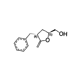 C=C1O[C@H](CO)C[C@H]1Cc1ccccc1